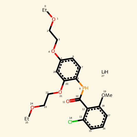 CCOCCOc1ccc(PC(=O)c2c(Cl)cccc2OC)c(OCCOCC)c1.[LiH]